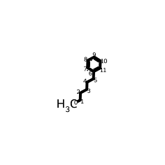 CCCCCCc1[c][c]ccc1